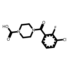 O=C(O)N1CCN(C(=O)c2cccc(Cl)c2F)CC1